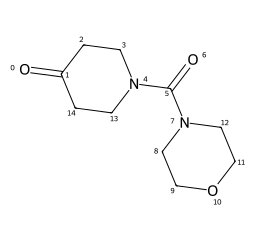 O=C1CCN(C(=O)N2CCOCC2)CC1